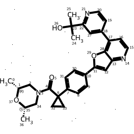 C[C@@H]1CN(C(=O)C2(c3ccc(-c4cc5nccc(-c6ccnc(C(C)(C)O)c6)c5o4)cc3)CC2)C[C@H](C)O1